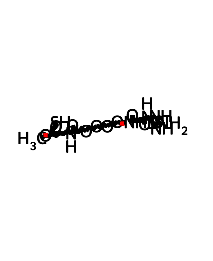 COCC(CCCCNC(=O)CCOCCOCCOCCOCCNC(=O)CCC(=O)NC(=N)SC(=N)SN)COS